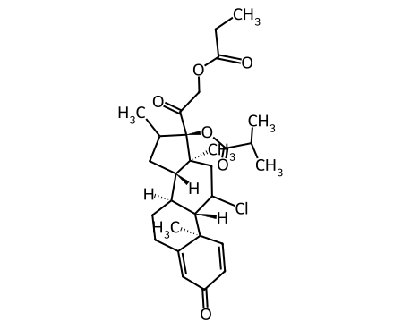 CCC(=O)OCC(=O)[C@@]1(OC(=O)C(C)C)C(C)C[C@H]2[C@@H]3CCC4=CC(=O)C=C[C@]4(C)[C@H]3C(Cl)C[C@@]21C